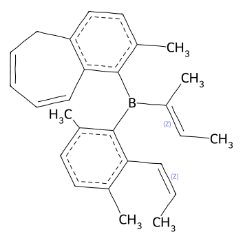 C/C=C\c1c(C)ccc(C)c1B(/C(C)=C/C)c1c(C)ccc2c1C=CC=CC2